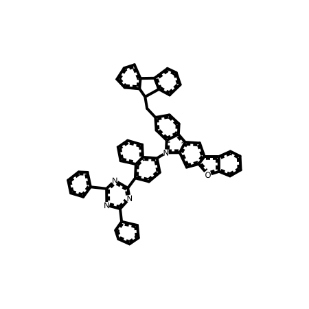 c1ccc(-c2nc(-c3ccccc3)nc(-c3ccc(-n4c5cc(CC6c7ccccc7-c7ccccc76)ccc5c5cc6c(cc54)oc4ccccc46)c4ccccc34)n2)cc1